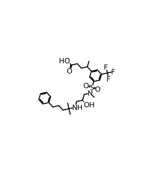 CC(CCC(=O)O)c1cc(C(F)(F)F)cc(S(=O)(=O)N(C)C[C@@H](O)CNC(C)(C)CCCc2ccccc2)c1